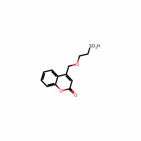 O=c1cc(COCCS(=O)(=O)O)c2ccccc2o1